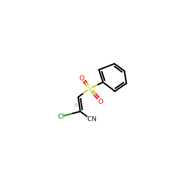 N#C/C(Cl)=C\S(=O)(=O)c1ccccc1